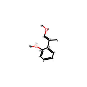 COC=C(C)c1ccccc1OC